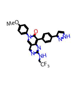 COc1ccc(-n2cc3cnc(NCC(F)(F)F)nc3c(-c3ccc(-c4cc[nH]n4)cc3)c2=O)cc1